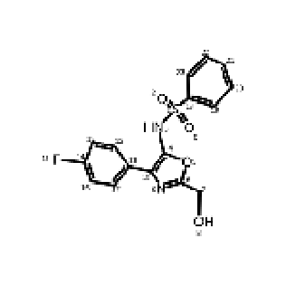 O=S(=O)(Nc1oc(CO)nc1-c1ccc(F)cc1)c1ccccc1